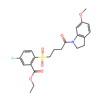 CCOC(=O)c1cc(F)ccc1S(=O)(=O)CCCC(=O)N1CCc2ccc(OC)cc21